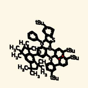 CC(C)(C)c1ccc(-c2cc(C(C)(C)C)ccc2N2c3ccc(C(C)(C)C)cc3B3c4sc5ccc(C(C)(C)C)cc5c4N(c4ccccc4)c4cc(-c5c6c(cc7c5C(C)(C)CC7(C)C)C(C)(C)CC6(C)C)cc2c43)cc1